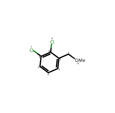 COCc1cccc(Cl)c1Cl